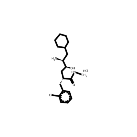 CNC(=O)[C@H](Cc1ccccc1Cl)C[C@H](O)[C@@H](N)CC1CCCCC1.Cl